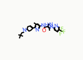 Cc1cc(NC(=O)c2cnn(-c3ccc(C(F)(F)F)cn3)c2C)cnc1C1=CCC(N(C)CCC(C)(C)C)CC1